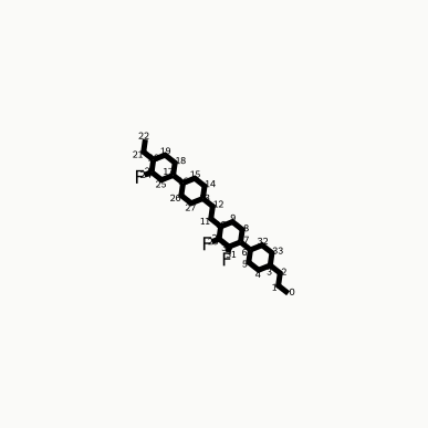 CCCC1CCC(C2CCC(CCC3CCC(C4CCC(CC)C(F)C4)CC3)C(F)C2F)CC1